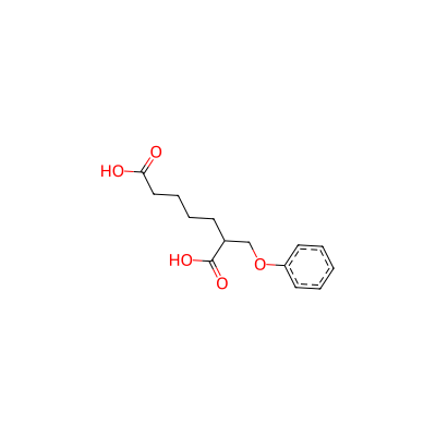 O=C(O)CCCCC(COc1ccccc1)C(=O)O